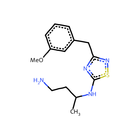 COc1cccc(Cc2nsc(NC(C)CCN)n2)c1